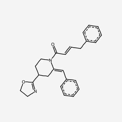 O=C(/C=C/Cc1ccccc1)N1CCC(C2=NCCO2)CC1=Cc1ccccc1